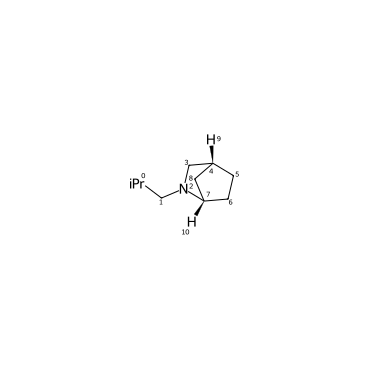 CC(C)CN1C[C@@H]2CC[C@H]1C2